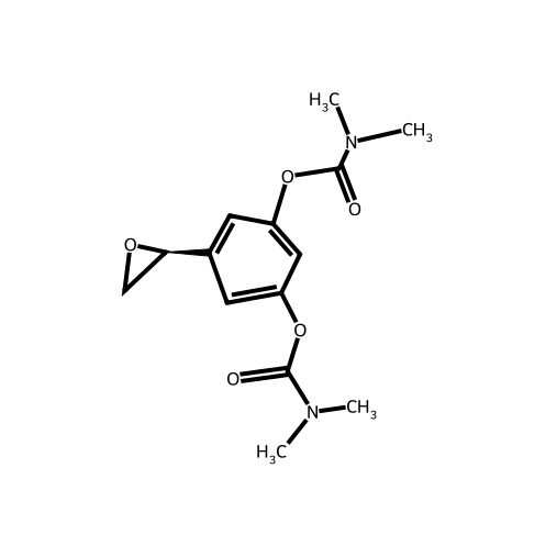 CN(C)C(=O)Oc1cc(OC(=O)N(C)C)cc([C@H]2CO2)c1